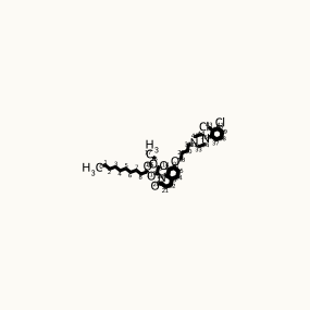 CCCCCCCCCC(=O)OC(C(=O)OCC)n1c(=O)ccc2ccc(OCCCCN3CCN(c4cccc(Cl)c4Cl)CC3)cc21